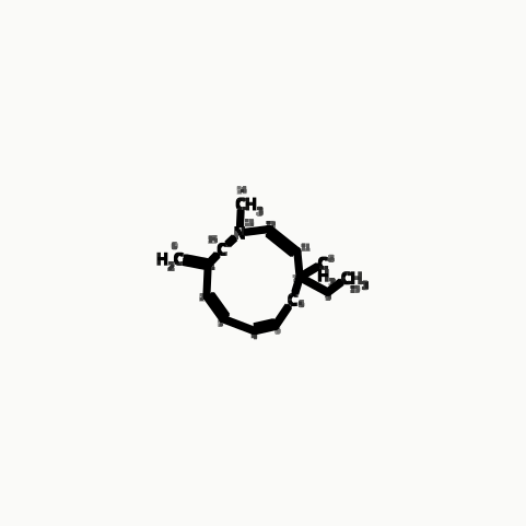 C=C1/C=C\C=C/CC(C)(CC)/C=C\N(C)C1